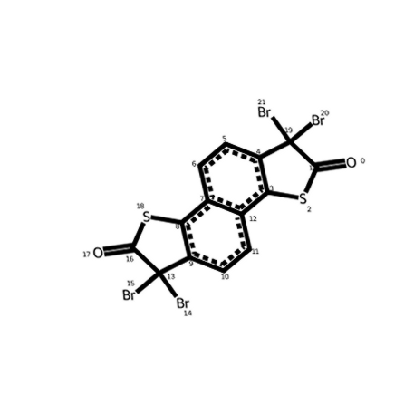 O=C1Sc2c(ccc3c4c(ccc23)C(Br)(Br)C(=O)S4)C1(Br)Br